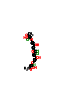 CC(=O)c1ccc(OCc2ccc(C(O)c3cccc(C(CCl)C(=O)C(CCl)c4cccc(C(O)c5ccc(COc6ccc(C(C)=O)c(O)c6Cl)cc5)c4)c3)cc2)c(Cl)c1O